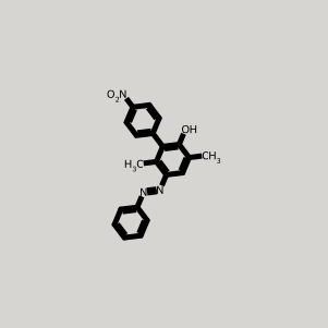 Cc1cc(N=Nc2ccccc2)c(C)c(-c2ccc([N+](=O)[O-])cc2)c1O